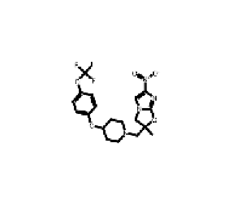 CC1(CN2CCC(Oc3ccc(OC(F)(F)F)cc3)CC2)Cn2cc([N+](=O)[O-])nc2O1